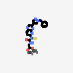 COC(CNC(=O)N(S)c1ccc2ncc(-c3cnn(Cc4ccccc4)c3)nc2n1)OC